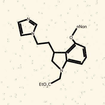 CCCCCCCCCOc1cccc2c1C(CCn1ccnc1)CN2CC(=O)OCC